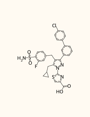 NS(=O)(=O)c1ccc(Cc2c(-c3cccc(-c4ccc(Cl)cc4)c3)nn(-c3nc(C(=O)O)cs3)c2CC2CC2)cc1F